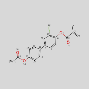 C=C(C)C(=O)Oc1ccc(-c2ccc(OC(=O)C(C)C)cc2)cc1F